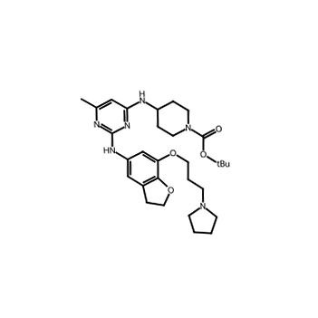 Cc1cc(NC2CCN(C(=O)OC(C)(C)C)CC2)nc(Nc2cc3c(c(OCCCN4CCCC4)c2)OCC3)n1